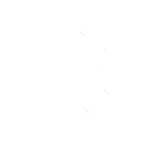 CC1(C)CNc2ccccc2-c2cc(Nc3ccccc3)ncc21